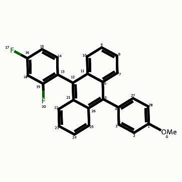 COc1ccc(-c2c3ccccc3c(-c3ccc(F)cc3F)c3ccccc23)cc1